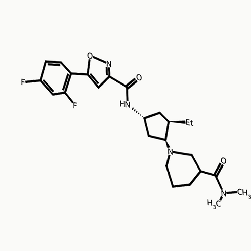 CC[C@@H]1C[C@@H](NC(=O)c2cc(-c3ccc(F)cc3F)on2)C[C@@H]1N1CCCC(C(=O)N(C)C)C1